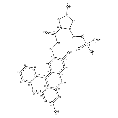 COP(=O)(O)OCC1CC(O)CN1C(=O)CCc1cc2c(-c3ccccc3C(=O)O)c3ccc(O)cc3oc-2cc1=O